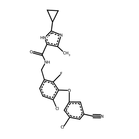 Cc1nc(C2CC2)[nH]c1C(=O)NCc1ccc(Cl)c(Oc2cc(Cl)cc(C#N)c2)c1F